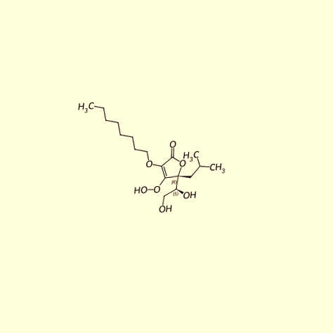 CCCCCCCCOC1=C(OO)[C@@](CC(C)C)([C@@H](O)CO)OC1=O